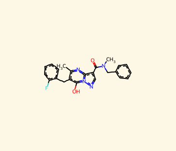 Cc1nc2c(C(=O)N(C)Cc3ccccc3)cnn2c(O)c1Cc1ccccc1F